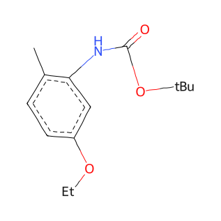 CCOc1ccc(C)c(NC(=O)OC(C)(C)C)c1